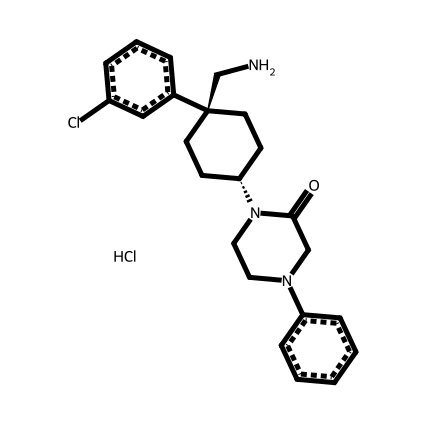 Cl.NC[C@]1(c2cccc(Cl)c2)CC[C@@H](N2CCN(c3ccccc3)CC2=O)CC1